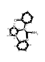 NC(=O)N(c1ccccc1Cl)c1ncnn1-c1ccccc1